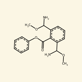 COC(N)c1cccc(C(N)OC)c1C(=O)Oc1ccccc1